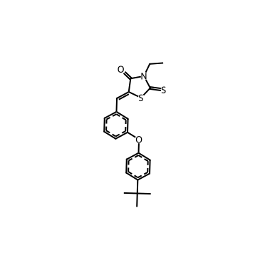 CCN1C(=O)C(=Cc2cccc(Oc3ccc(C(C)(C)C)cc3)c2)SC1=S